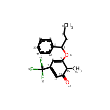 CCCC(OC1=CC(C(F)(F)F)=CC(=O)C1C)c1ccccc1